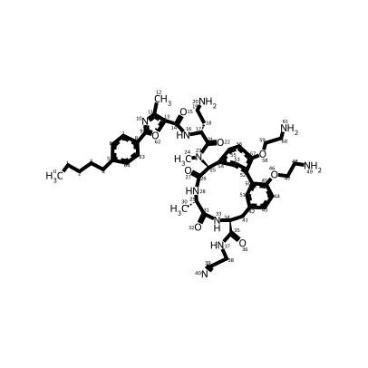 CCCCCc1ccc(-c2nc(C)c(C(=O)N[C@H](CCN)C(=O)N(C)[C@@H]3C(=O)N[C@@H](C)C(=O)N[C@H](C(=O)NCC#N)Cc4ccc(OCCN)c(c4)-c4cc3ccc4OCCN)o2)cc1